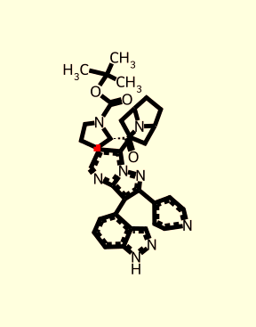 CC(C)(C)OC(=O)N1CCC[C@H]1C(=O)N1C2CCC1CC(c1ccnc3c(-c4cccc5[nH]ncc45)c(-c4ccncc4)nn13)C2